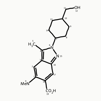 CNc1cc2c(C)n(C3CCC(CO)CC3)nc2cc1C(=O)O